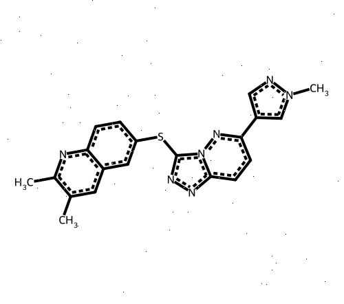 Cc1cc2cc(Sc3nnc4ccc(-c5cnn(C)c5)nn34)ccc2nc1C